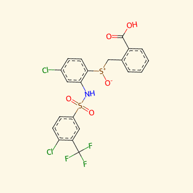 O=C(O)c1ccccc1C[S+]([O-])c1ccc(Cl)cc1NS(=O)(=O)c1ccc(Cl)c(C(F)(F)F)c1